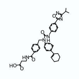 CC(C)c1noc(-c2ccc(NC(=O)N(Cc3ccc(C(=O)NCCC(=O)O)cc3)c3ccc(C4=CCCCC4)cc3)cc2)n1